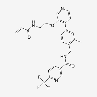 C=CC(=O)NCCOc1cnccc1-c1ccc(CNC(=O)c2ccc(C(F)(F)F)nc2)c(C)c1